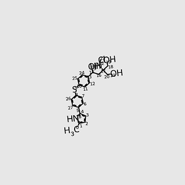 Cc1ccc(-c2ccc(Sc3ccc(C(O)CC(CO)(CO)NCl)cc3)cc2)[nH]1